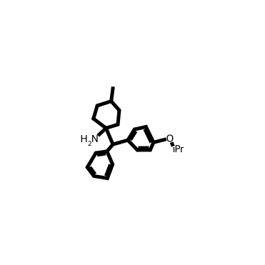 CC1CCC(N)(C(c2ccccc2)c2ccc(OC(C)C)cc2)CC1